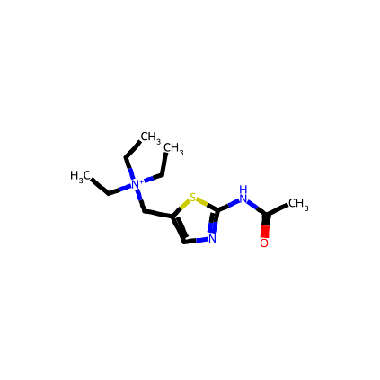 CC[N+](CC)(CC)Cc1cnc(NC(C)=O)s1